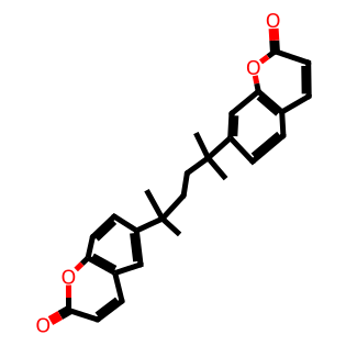 CC(C)(CCC(C)(C)c1ccc2ccc(=O)oc2c1)c1ccc2oc(=O)ccc2c1